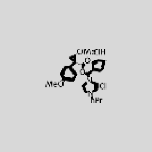 CCCN1CCN(C(OC(=O)[C@]2(c3ccc(OC)cc3)C[C@@H]2OC)c2ccccc2)CC1.Cl.Cl